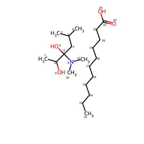 CC(C)CC(O)(C(C)O)N(C)C.CCCCCCCCCCC(=O)O